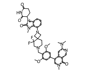 COc1cc(-c2cn(C)c(=O)c3cnc(N(C)C)cc23)cc(OC)c1CN1CCC2(CN(c3cccc4c3n(C)c(=O)n4C3CCC(=O)NC3=O)C2)C(F)(F)C1